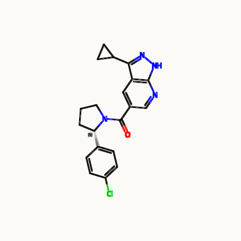 O=C(c1cnc2[nH]nc(C3CC3)c2c1)N1CCC[C@H]1c1ccc(Cl)cc1